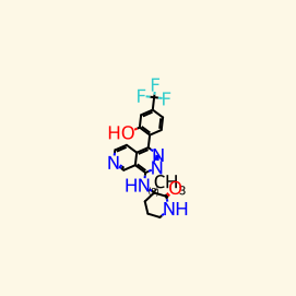 C[C@]1(Nc2nnc(-c3ccc(C(F)(F)F)cc3O)c3ccncc23)CCCNC1=O